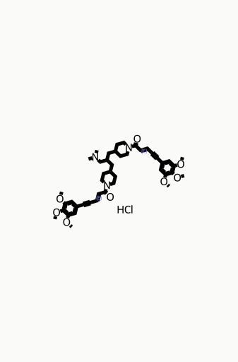 COc1cc(C#C/C=C/C(=O)N2CCC(CC(CC3CCN(C(=O)/C=C/C#Cc4cc(OC)c(OC)c(OC)c4)CC3)CN(C)C)CC2)cc(OC)c1OC.Cl